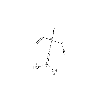 C=CC(F)(F)CF.O=C(O)O